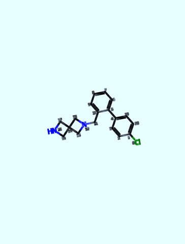 Clc1ccc(-c2ccccc2CN2CC3(CNC3)C2)cc1